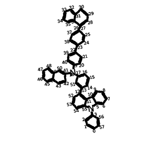 c1ccc(-n2c3ccccc3c3c(-c4cccc(N(c5ccc(-c6ccc(-c7cccc8ccccc78)cc6)cc5)c5ccc6ccccc6c5)c4)cccc32)cc1